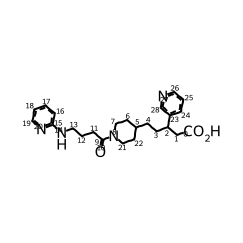 O=C(O)CC(CCC1CCN(C(=O)CCCNc2ccccn2)CC1)c1cccnc1